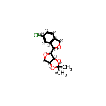 CC1(C)OC2COC(C3OCc4ccc(Cl)cc43)C2O1